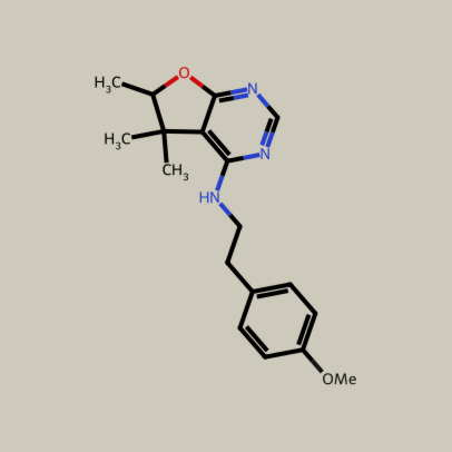 COc1ccc(CCNc2ncnc3c2C(C)(C)C(C)O3)cc1